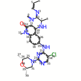 C=N/C(=N\C=C/C)C(C)Nc1cc(=O)n(C)c2ccc(Nc3nc(N4C[C@@H](C)O[C@@H](C)C4)ncc3Cl)cc12